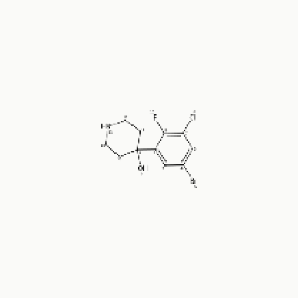 OC1(c2cc(Br)cc(Cl)c2F)CCNCC1